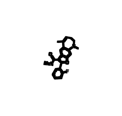 CNC(=O)c1c(-c2ccccc2F)oc2cc3c(cc12)C(C)=CCCN3C